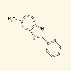 Cc1ccc2nc(-c3ccccn3)sc2c1